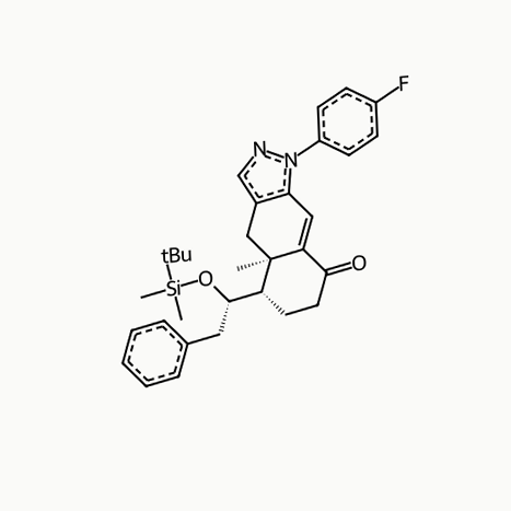 CC(C)(C)[Si](C)(C)O[C@@H](Cc1ccccc1)[C@H]1CCC(=O)C2=Cc3c(cnn3-c3ccc(F)cc3)C[C@@]21C